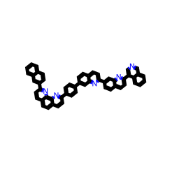 c1ccc2cc(-c3ccc4ccc5ccc(-c6ccc(-c7ccc8ccc(-c9ccc%10ccc(-c%11cncc%12ccccc%11%12)nc%10c9)nc8c7)cc6)nc5c4n3)ccc2c1